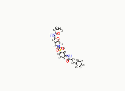 C=CC(=O)Nc1cc2c(o1)CN(S(=O)(=O)c1cccc(NC(=O)CCc3ccccc3)c1)C2